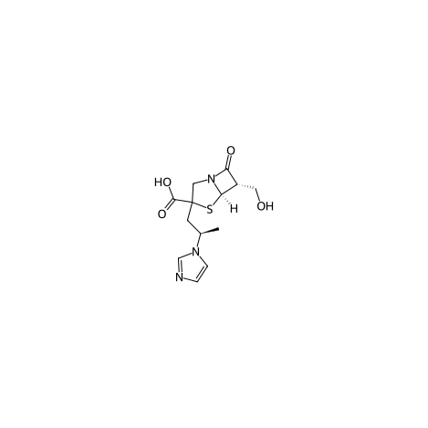 C[C@H](CC1(C(=O)O)CN2C(=O)[C@H](CO)[C@H]2S1)n1ccnc1